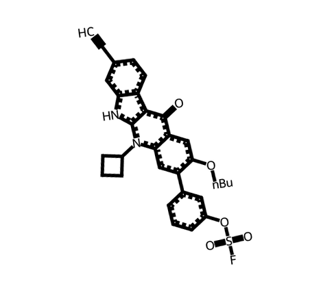 C#Cc1ccc2c(c1)[nH]c1c2c(=O)c2cc(OCCCC)c(-c3cccc(OS(=O)(=O)F)c3)cc2n1C1CCC1